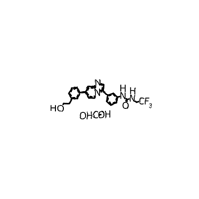 O=C(NCC(F)(F)F)Nc1cccc(-c2cnc3cc(-c4cccc(CCO)c4)ccn23)c1.O=CO